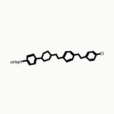 CCCCCCCc1ccc(C2CCC(CCc3ccc(CCc4ccc(Cl)cc4)cc3)CC2)cc1